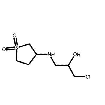 O=S1(=O)CCC(NCC(O)CCl)C1